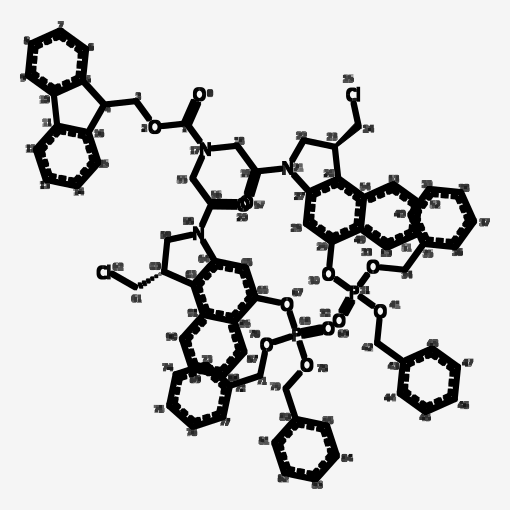 O=C(OCC1c2ccccc2-c2ccccc21)N(CC(=O)N1C[C@@H](CCl)c2c1cc(OP(=O)(OCc1ccccc1)OCc1ccccc1)c1ccccc21)CC(=O)N1C[C@@H](CCl)c2c1cc(OP(=O)(OCc1ccccc1)OCc1ccccc1)c1ccccc21